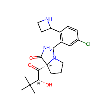 CC(C)(C)[C@@H](O)C(=O)[C@@]1(C(N)=O)CCCN1Cc1cc(Cl)ccc1C1CCN1